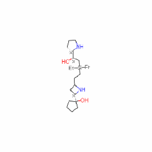 CC[Si](CC)(CCC1C[C@@H](C2(O)CCCC2)N1)C[C@@H](O)[C@@H]1CCCN1